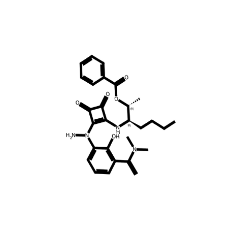 C=C(c1cccc(N(N)c2c(N[C@H](CCCC)[C@@H](C)OC(=O)c3ccccc3)c(=O)c2=O)c1O)N(C)C